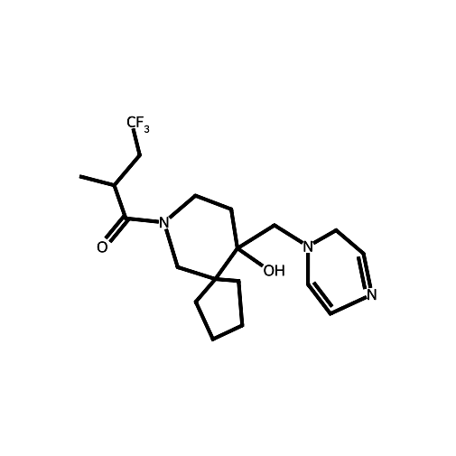 CC(CC(F)(F)F)C(=O)N1CCC(O)(CN2C=CN=CC2)C2(CCCC2)C1